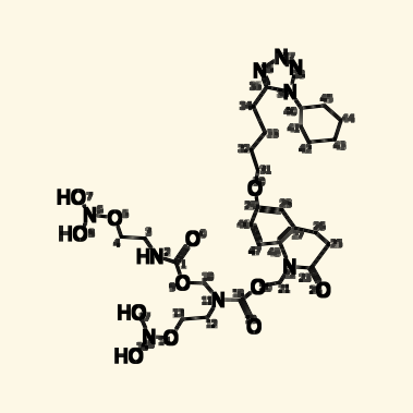 O=C(NCCON(O)O)OCN(CCON(O)O)C(=O)OCN1C(=O)CCc2cc(OCCCCc3nnnn3C3CCCCC3)ccc21